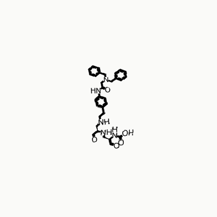 O=C[C@@H](CNCCc1ccc(NC(=O)CN(Cc2ccccc2)Cc2ccccc2)cc1)NC[C@H](C=O)NC(=O)O